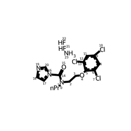 CCCN(CCOc1c(Cl)cc(Cl)cc1Cl)C(=O)n1ccnc1.F.F.N